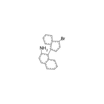 Nc1ccc2ccccc2c1-c1ccc(Br)c2ccccc12